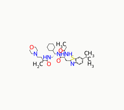 C=C(CCN1CCOCC1)C(=O)NC[C@@H](NC(=O)[C@H](Cc1nc2ccc(C(C)C)cc2s1)NC(=O)CC)C1CCCCC1